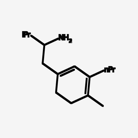 CCCC1=C(C)CCC(CC(N)C(C)C)=C1